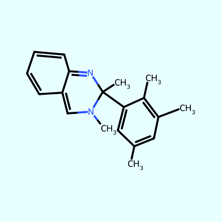 Cc1cc(C)c(C)c(C2(C)N=c3ccccc3=CN2C)c1